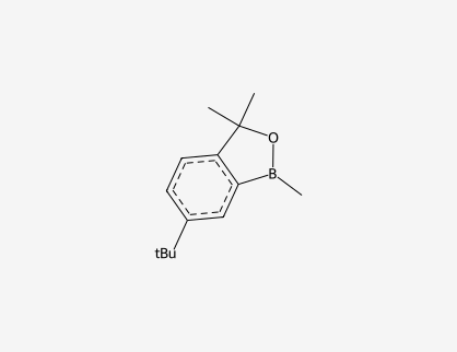 CB1OC(C)(C)c2ccc(C(C)(C)C)cc21